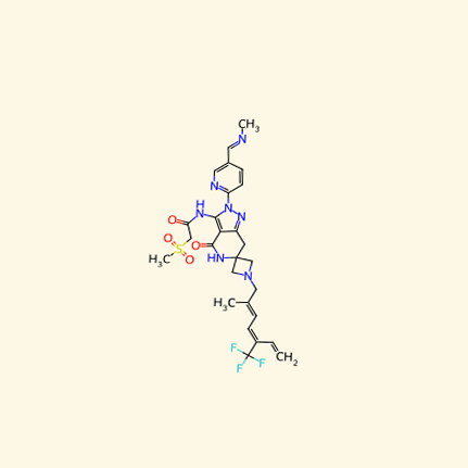 C=C/C(=C\C=C(/C)CN1CC2(Cc3nn(-c4ccc(/C=N/C)cn4)c(NC(=O)CS(C)(=O)=O)c3C(=O)N2)C1)C(F)(F)F